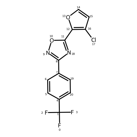 FC(F)(F)c1ccc(-c2noc(-c3occc3Cl)n2)cc1